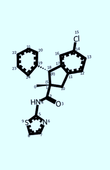 C[C@]1(C(=O)Nc2nccs2)Cc2ccc(Cl)cc2[C@H]1c1ccccc1